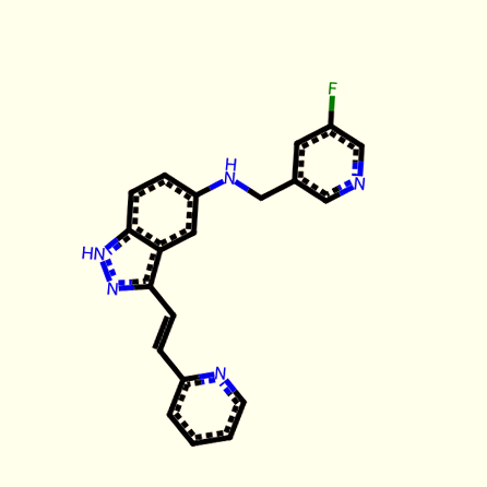 Fc1cncc(CNc2ccc3[nH]nc(C=Cc4ccccn4)c3c2)c1